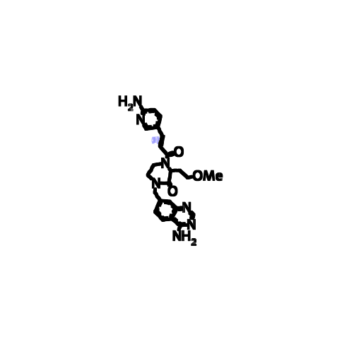 COCCC1C(=O)N(Cc2ccc3c(N)ncnc3c2)CCN1C(=O)/C=C/c1ccc(N)nc1